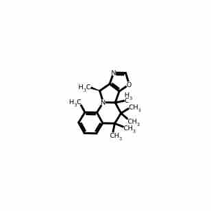 Cc1cccc2c1N1[C@@H](C)c3ncoc3C1(C)C(C)(C)C2(C)C